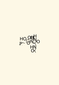 C=P(C)(C)CC[C@H]1OC(n2cc(CNCC(C)=O)c(=O)[nH]c2=O)[C@H](O)[C@@H]1O